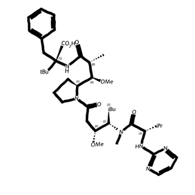 CC[C@H](C)[C@@H]([C@@H](CC(=O)N1CCC[C@H]1[C@H](OC)[C@@H](C)C(=O)N[C@](Cc1ccccc1)(C(=O)O)C(C)(C)C)OC)N(C)C(=O)[C@@H](Nc1ncccn1)C(C)C